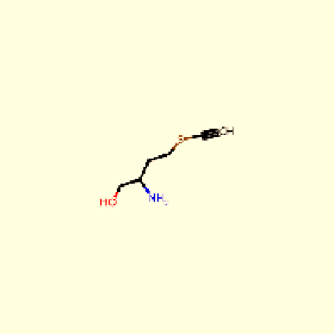 C#CSCCC(N)CO